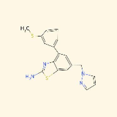 CSc1cccc(-c2cc(Cn3cccn3)cc3sc(N)nc23)c1